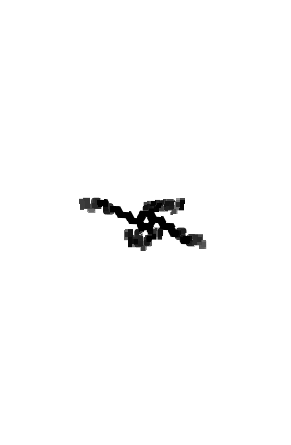 C=COCCCCc1cc(NC(=O)O)c(CCCCOC=C)c(NC(=O)O)c1C